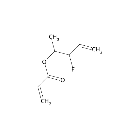 C=CC(=O)OC(C)C(F)C=C